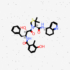 Cc1c(O)cccc1C(=O)N[C@@H](Cc1ccccc1)[C@H](O)C(=O)N1CSC(C)(C)[C@H]1C(=O)N[C@H]1CCCc2ncccc21